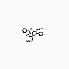 COCc1cc(=O)n(Cc2ccccc2)c(C(C(C)C)N(CCCN)C(=O)c2ccc(C)cc2)n1